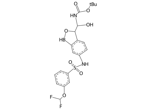 CC(C)(C)OC(=O)NC(O)C1OBc2cc(NS(=O)(=O)c3cccc(OC(F)F)c3)ccc21